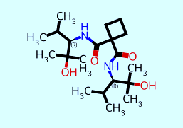 CC(C)[C@@H](NC(=O)C1(C(=O)N[C@H](C(C)C)C(C)(C)O)CCC1)C(C)(C)O